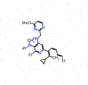 CC/C=C/C=C\C(=C(/C)C1CC1)c1cc(NCc2nccc(OC)n2)c(N(C)C(C)C)c(CC)n1